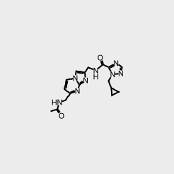 CC(=O)NCc1ccn2cc(CNC(=O)c3ncnn3CC3CC3)nc2n1